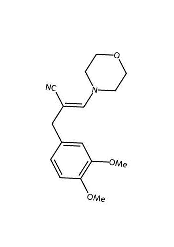 COc1ccc(CC(C#N)=CN2CCOCC2)cc1OC